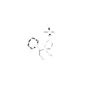 CCC([n+]1ccccc1)[Si](OC)(OC)OC.CS(=O)(=O)[O-]